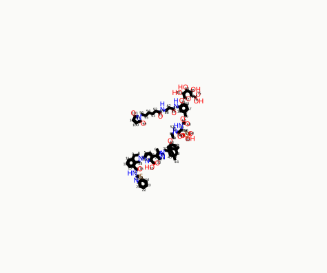 Cc1c(-c2ccc(N3CCc4cccc(C(=O)Nc5nc6ccccc6s5)c4C3)nc2C(=O)O)cnn1CC12CC3(C)CC(C)(C1)CC(OCCN(C)C(=O)[C@@H](CS(=O)(=O)O)NC(=O)OCc1ccc(O[C@@H]4O[C@H](C(=O)O)[C@@H](O)[C@H](O)[C@H]4O)c(NC(=O)CCNC(=O)CCCCCN4C(=O)C=CC4=O)c1)(C3)C2